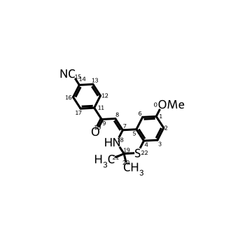 COc1ccc2c(c1)/C(=C/C(=O)c1ccc(C#N)cc1)NC(C)(C)S2